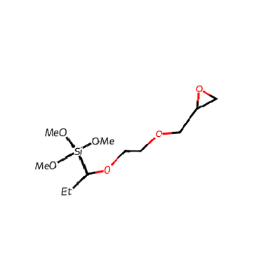 CCC(OCCOCC1CO1)[Si](OC)(OC)OC